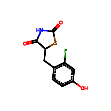 O=C1NC(=O)C(Cc2ccc(O)cc2F)S1